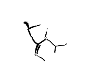 C/N=C(/CC(C)C)N(I)C(C)C